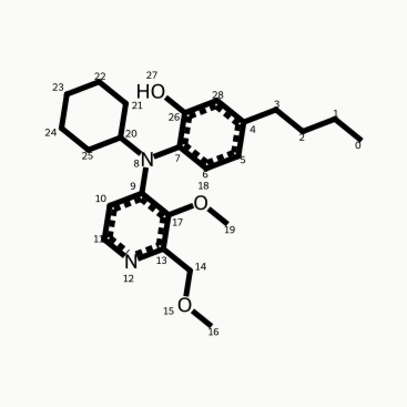 CCCCc1ccc(N(c2ccnc(COC)c2OC)C2CCCCC2)c(O)c1